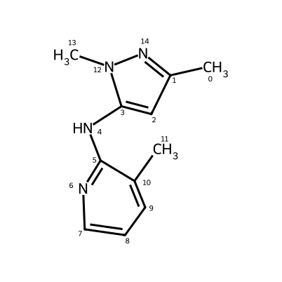 Cc1cc(Nc2ncccc2C)n(C)n1